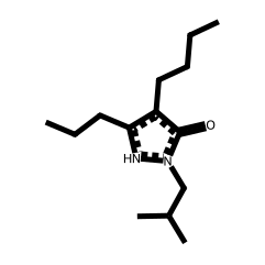 CCCCc1c(CCC)[nH]n(CC(C)C)c1=O